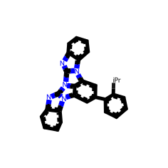 CC(C)c1ccccc1-c1cc2c3c(c1)n1c4ccccc4nc1n3c1nc3ccccc3n21